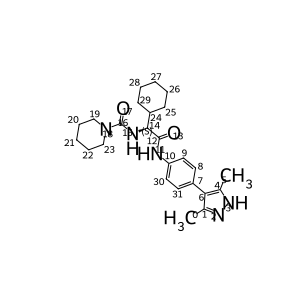 Cc1n[nH]c(C)c1-c1ccc(NC(=O)[C@@H](NC(=O)N2CCCCC2)C2CCCCC2)cc1